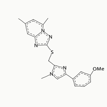 COc1cccc(-c2cn(C)c(CSc3nc4cc(C)cc(C)n4n3)n2)c1